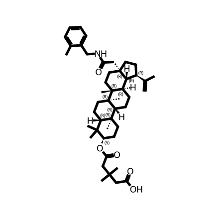 C=C(C)[C@@H]1CC[C@]2(CC(=O)NCc3ccccc3C)CC[C@]3(C)[C@H](CC[C@@H]4[C@@]5(C)CC[C@H](OC(=O)CC(C)(C)CC(=O)O)C(C)(C)[C@@H]5CC[C@]43C)[C@@H]12